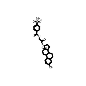 C[C@]12CCC3c4ccc(O)cc4CCC3C1CC[C@@H]2OC(=O)COC(=O)c1ccc(S(N)(=O)=O)cc1